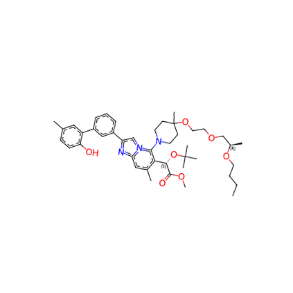 CCCCO[C@H](C)COCCOC1(C)CCN(c2c([C@H](OC(C)(C)C)C(=O)OC)c(C)cc3nc(-c4cccc(-c5cc(C)ccc5O)c4)cn23)CC1